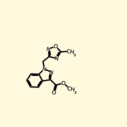 COC(=O)c1nn(Cc2noc(C)n2)c2ccccc12